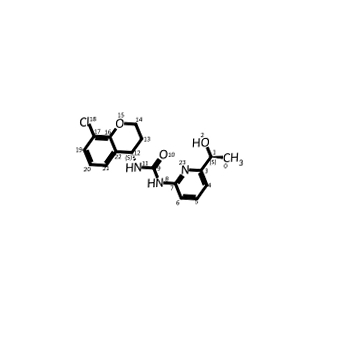 C[C@H](O)c1cccc(NC(=O)N[C@H]2CCOc3c(Cl)cccc32)n1